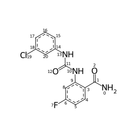 NC(=O)c1ccc(F)cc1NC(=O)Nc1cccc(Cl)c1